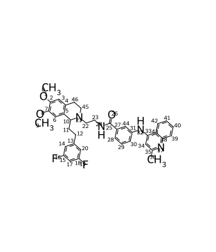 COc1cc2c(cc1OC)C(CCc1cc(F)cc(F)c1)N(CCNC(=O)c1cccc(Nc3cc(C)nc4ccccc34)c1)CC2